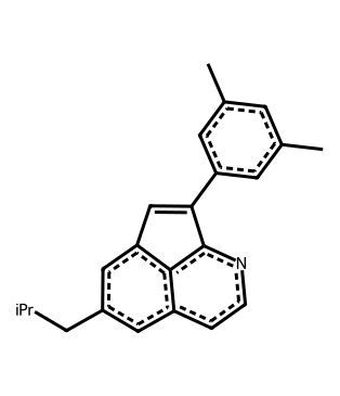 Cc1cc(C)cc(C2=Cc3cc(CC(C)C)cc4ccnc2c34)c1